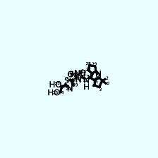 CC1(C)CCc2c1nc1c(c2NC(=O)N=S(N)(=O)c2cnc(C(O)CO)s2)CCC1